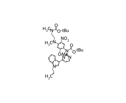 C=CCn1cc(-c2ccnc(N(C(=O)OC(C)(C)C)c3cc([N+](=O)[O-])c(N(C)CCN(C)C(=O)OC(C)(C)C)cc3OC)n2)c2ccccc21